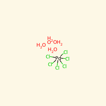 O.O.O.O.[Cl][Pd]([Cl])([Cl])([Cl])([Cl])[Cl]